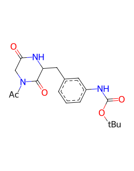 CC(=O)N1CC(=O)NC(Cc2cccc(NC(=O)OC(C)(C)C)c2)C1=O